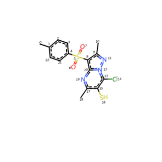 Cc1ccc(S(=O)(=O)c2c(C)nn3c(Cl)c(S)c(C)nc23)cc1